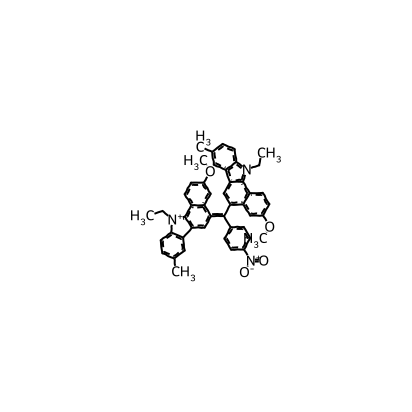 CCn1c2ccc(C)cc2c2cc(/C(c3ccc([N+](=O)[O-])cc3)=c3/cc4c(c5ccc(OC)cc35)=[N+](CC)c3ccc(C)cc3-4)c3cc(OC)ccc3c21